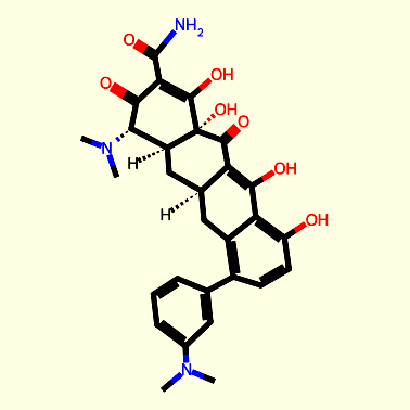 CN(C)c1cccc(-c2ccc(O)c3c2C[C@H]2C[C@H]4[C@H](N(C)C)C(=O)C(C(N)=O)=C(O)[C@@]4(O)C(=O)C2=C3O)c1